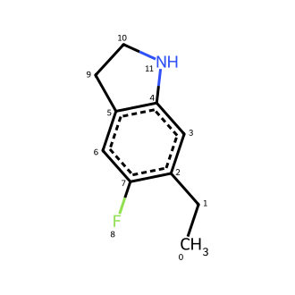 CCc1cc2c(cc1F)CCN2